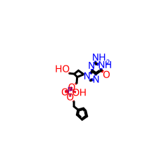 Nc1nc2c(ncn2C2CC(CO)C2COP(=O)(O)OCCc2ccccc2)c(=O)[nH]1